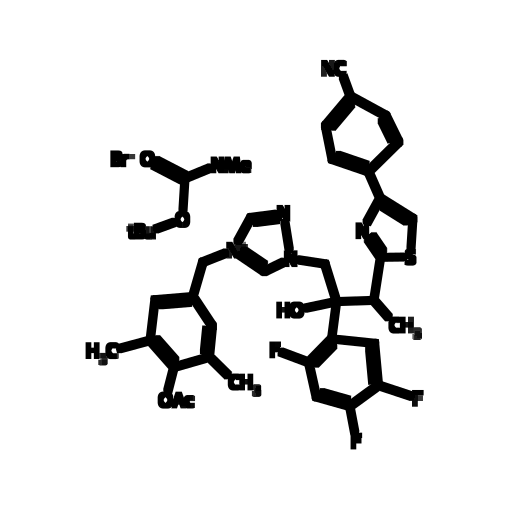 CC(=O)Oc1c(C)cc(C[n+]2cnn(CC(O)(c3cc(F)c(F)cc3F)C(C)c3nc(-c4ccc(C#N)cc4)cs3)c2)cc1C.CNC(=O)OC(C)(C)C.[Br-]